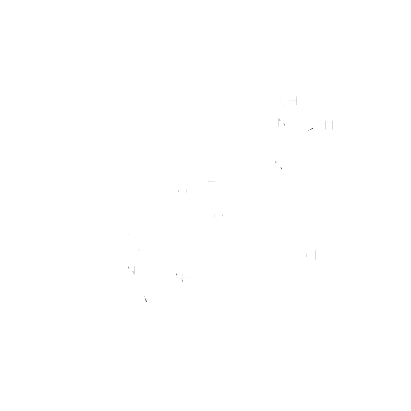 CN[C@@H](C)C(=O)Nc1cc(CCl)cc(COc2cc3c(cc2OC)C(=O)N2c4ccccc4C[C@H]2CN3)c1